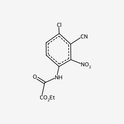 CCOC(=O)C(=O)Nc1ccc(Cl)c(C#N)c1[N+](=O)[O-]